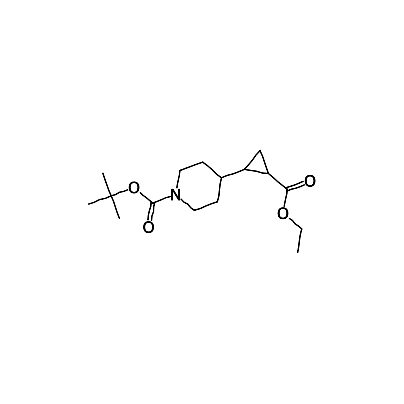 CCOC(=O)C1CC1C1CCN(C(=O)OC(C)(C)C)CC1